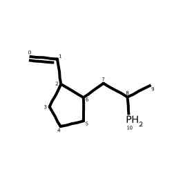 C=CC1CCCC1CC(C)P